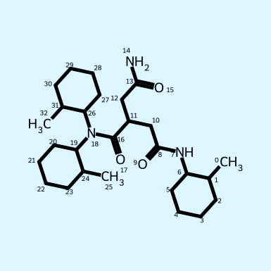 CC1CCCCC1NC(=O)CC(CC(N)=O)C(=O)N(C1CCCCC1C)C1CCCCC1C